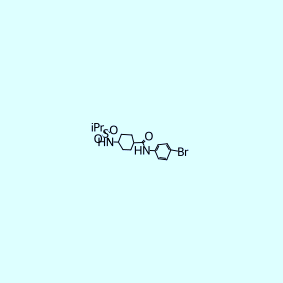 CC(C)S(=O)(=O)NC1CCC(C(=O)Nc2ccc(Br)cc2)CC1